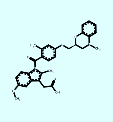 COc1ccc2c(c1)c(CC(=O)O)c(C)n2C(=O)c1ccc(OC[C@@H]2CN(C)c3ccccc3O2)cc1C